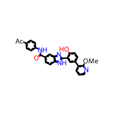 COc1ncccc1-c1ccc(O)c(-c2nc3cc(C(=O)Nc4ccc(C(C)=O)cc4)ccc3[nH]2)c1